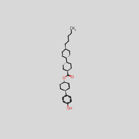 CCCCC[C@H]1CC[C@H]([C@H]2CC[C@H](C(=O)O[C@H]3CC[C@H](c4ccc(O)cc4)CC3)CC2)CC1